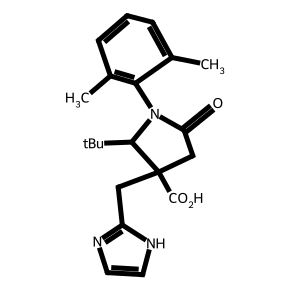 Cc1cccc(C)c1N1C(=O)CC(Cc2ncc[nH]2)(C(=O)O)C1C(C)(C)C